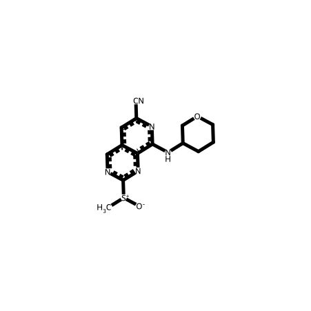 C[S+]([O-])c1ncc2cc(C#N)nc(NC3CCCOC3)c2n1